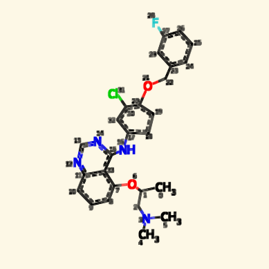 CC(CN(C)C)Oc1cccc2ncnc(Nc3ccc(OCc4cccc(F)c4)c(Cl)c3)c12